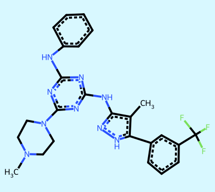 Cc1c(Nc2nc(Nc3ccccc3)nc(N3CCN(C)CC3)n2)n[nH]c1-c1cccc(C(F)(F)F)c1